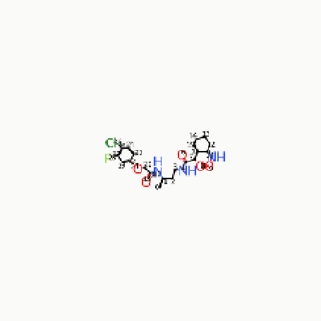 C=C(CCNC(=O)C1OONC2CCCCC21)NC(=O)COc1ccc(Cl)c(F)c1